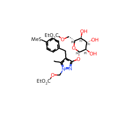 CCOC(=O)OC[C@H]1O[C@@H](Oc2nn(COC(=O)OCC)c(C)c2Cc2ccc(SC)cc2)[C@H](O)[C@@H](O)[C@@H]1O